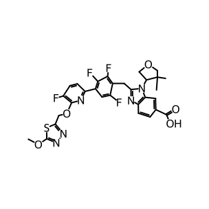 COc1nnc(COc2nc(-c3cc(F)c(Cc4nc5ccc(C(=O)O)cc5n4C4COCC4(C)C)c(F)c3F)ccc2F)s1